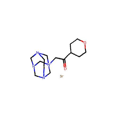 O=C(C[N+]12CN3CN(CN(C3)C1)C2)C1CCOCC1.[Br-]